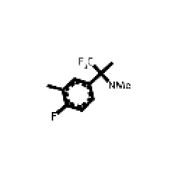 CNC(C)(c1ccc(F)c(C)c1)C(F)(F)F